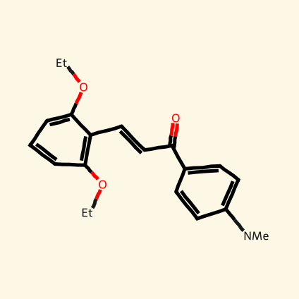 CCOc1cccc(OCC)c1/C=C/C(=O)c1ccc(NC)cc1